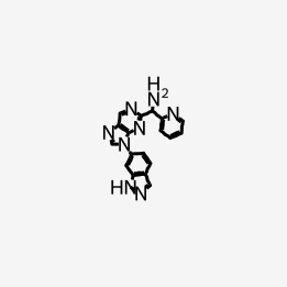 NC(c1ccccn1)c1ncc2ncn(-c3ccc4cn[nH]c4c3)c2n1